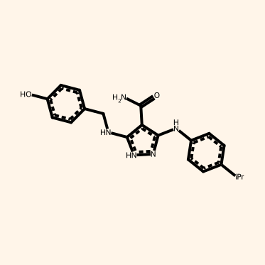 CC(C)c1ccc(Nc2n[nH]c(NCc3ccc(O)cc3)c2C(N)=O)cc1